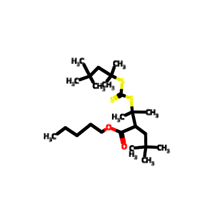 CCCCCOC(=O)C(CC(C)(C)C)C(C)(C)SC(=S)SC(C)(C)CC(C)(C)C